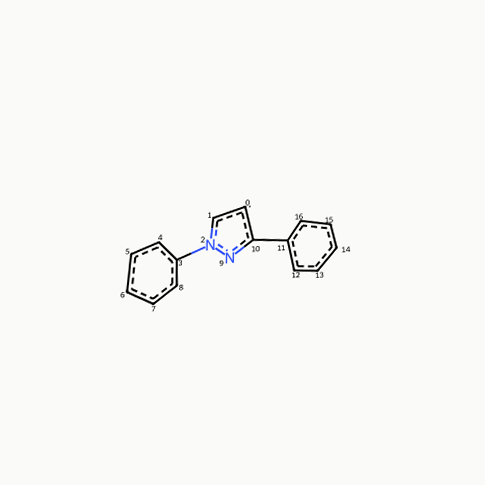 [c]1cn(-c2ccccc2)nc1-c1ccccc1